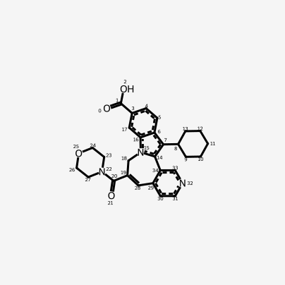 O=C(O)c1ccc2c(C3CCCCC3)c3n(c2c1)CC(C(=O)N1CCOCC1)=Cc1ccncc1-3